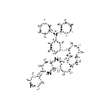 c1ccc(N(c2ccccc2)c2ccc(-n3c4ccc(-c5ccncc5)nc4c4ccc5sc6ccccc6c5c43)cc2)cc1